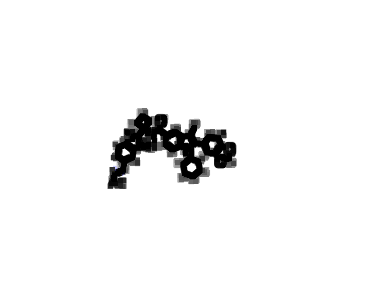 CC(=O)/C=C/c1ccc2nc(C3(NC(=O)c4ccc5c(c4)c(C)c(-c4ccc6c(c4)OCO6)n5C4CCCCC4)CCC3)n(C)c2c1